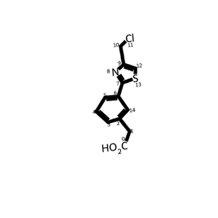 O=C(O)Cc1cccc(-c2nc(CCl)cs2)c1